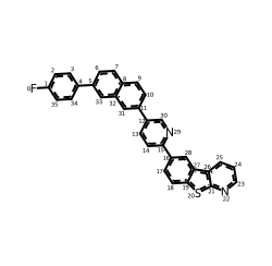 Fc1ccc(-c2ccc3ccc(-c4ccc(-c5ccc6sc7ncccc7c6c5)nc4)cc3c2)cc1